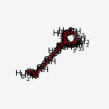 CO[C@H]1C[C@@H]2CC[C@@H](C)[C@@](O)(O2)C(=O)C(=O)N2CCCC[C@H]2C(=O)O[C@H]([C@H](N)C[C@@H]2CC[C@H](n3cc(COC(=O)NCCOCCOCCOCCC(=O)NCCOCCOCCC(=O)NCCCCn4nc(-c5ccc6oc(N)nc6c5)c5c(N)ncnc54)nn3)[C@H](OC)C2)CC(=O)[C@H](C)/C=C(\C)[C@@H](O)[C@@H](O)C(=O)[C@H](C)C[C@H](C)/C=C/C=C/C=C/1C